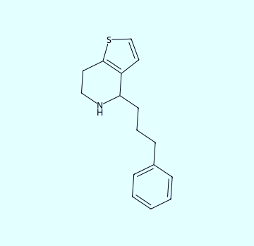 c1ccc(CCCC2NCCc3sccc32)cc1